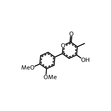 COc1ccc(-c2cc(O)c(C)c(=O)o2)cc1OC